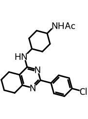 CC(=O)NC1CCC(Nc2nc(-c3ccc(Cl)cc3)nc3c2CCCC3)CC1